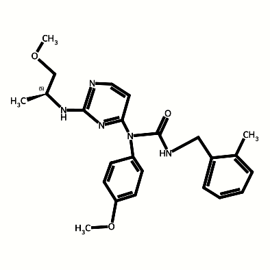 COC[C@H](C)Nc1nccc(N(C(=O)NCc2ccccc2C)c2ccc(OC)cc2)n1